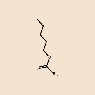 CCCCCOC(N)=S